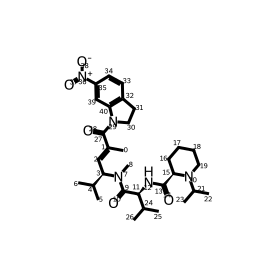 C/C(=C\[C@H](C(C)C)N(C)C(=O)[C@@H](NC(=O)[C@H]1CCCCN1C(C)C)C(C)C)C(=O)N1CCc2ccc([N+](=O)[O-])cc21